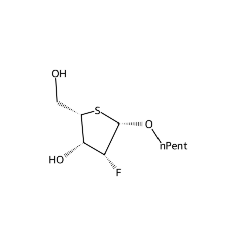 CCCCCO[C@H]1S[C@@H](CO)[C@@H](O)[C@H]1F